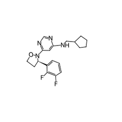 Fc1cccc([C@H]2CCON2c2cc(NCC3CCCC3)ncn2)c1F